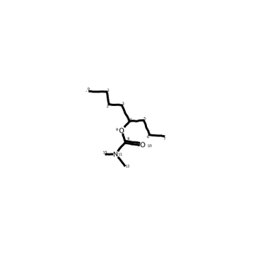 [CH2]CCCC(CCC)OC(=O)N(C)C